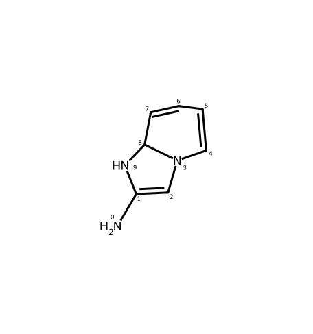 NC1=CN2C=CC=CC2N1